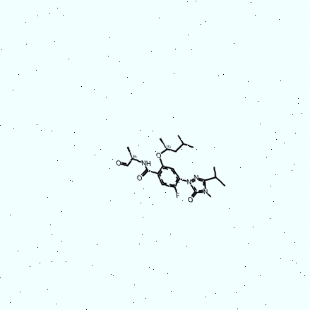 CC(C)C[C@H](C)Oc1cc(-n2nc(C(C)C)n(C)c2=O)c(F)cc1C(=O)N[C@H](C)C=O